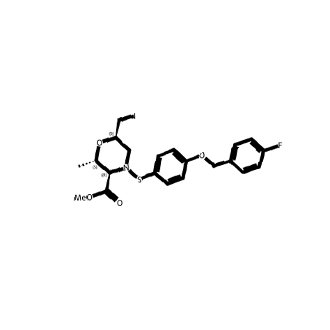 COC(=O)[C@H]1[C@H](C)O[C@@H](CI)CN1Sc1ccc(OCc2ccc(F)cc2)cc1